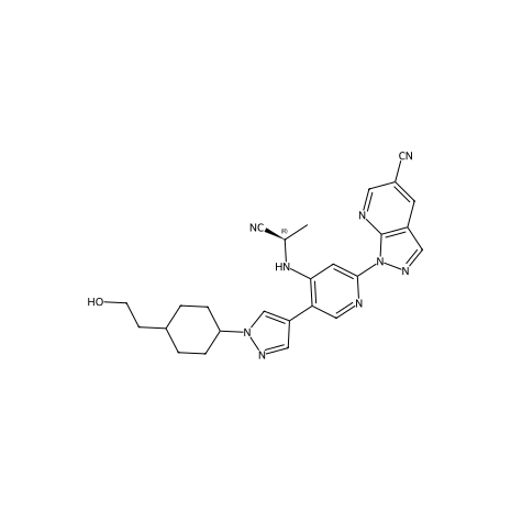 C[C@H](C#N)Nc1cc(-n2ncc3cc(C#N)cnc32)ncc1-c1cnn(C2CCC(CCO)CC2)c1